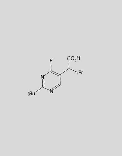 CC(C)C(C(=O)O)c1cnc(C(C)(C)C)nc1F